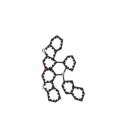 c1ccc(N(c2ccc3ccccc3c2)c2cccc3sc4ccccc4c23)c(-c2cccc3oc4ccccc4c23)c1